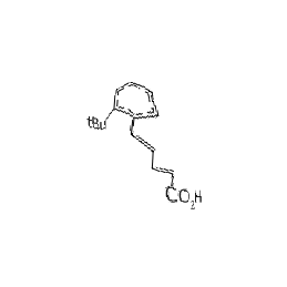 CC(C)(C)c1ccccc1C=CC=CC(=O)O